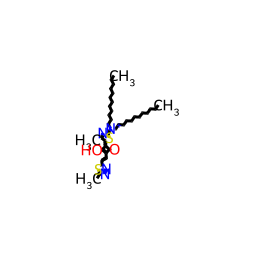 CCCCCCCCCCCC[N+](CCCCCCCCCCCC)=C1N=C(C)/C(=C2/C(=O)C(/C=C/c3nnc(C)s3)=C2O)S1